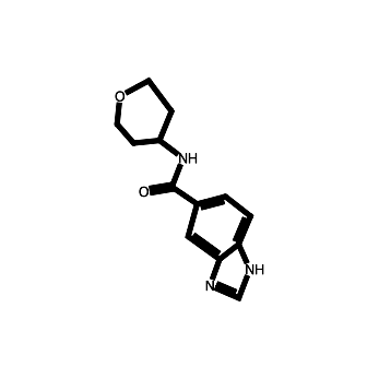 O=C(NC1CCOCC1)c1ccc2[nH]cnc2c1